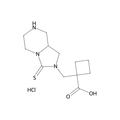 Cl.O=C(O)C1(CN2CC3CNCCN3C2=S)CCC1